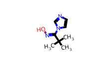 CC(C)(C)/C(=N/O)n1ccnc1